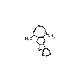 CC1/C=C\C=C/CN(N)C2=C1CC1Sc3ccccc3C1=C2